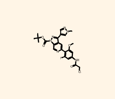 COc1cc(NC(=O)CCl)cc(F)c1-c1cc2c(-c3cnn(C)c3)nn(C(=O)OC(C)(C)C)c2cn1